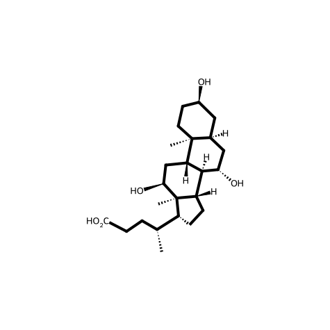 C[C@H](CCC(=O)O)[C@H]1CC[C@H]2[C@@H]3[C@@H](O)C[C@@H]4C[C@H](O)CC[C@]4(C)[C@H]3C[C@H](O)[C@]12C